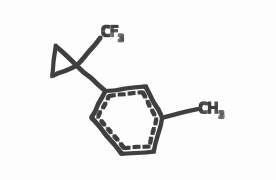 Cc1cccc(C2(C(F)(F)F)CC2)c1